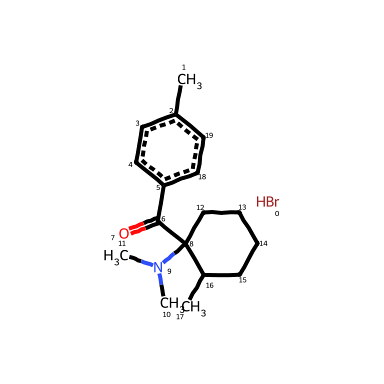 Br.Cc1ccc(C(=O)C2(N(C)C)CCCCC2C)cc1